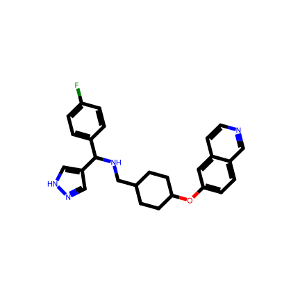 Fc1ccc(C(NCC2CCC(Oc3ccc4cnccc4c3)CC2)c2cn[nH]c2)cc1